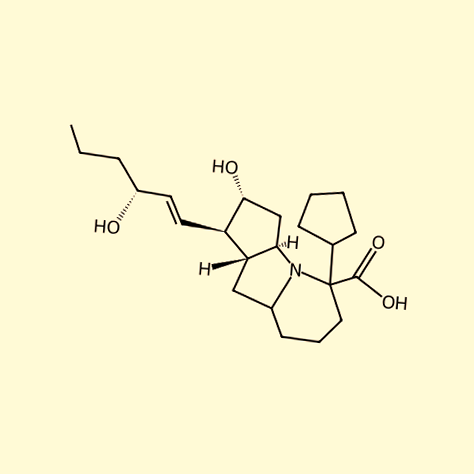 CCC[C@@H](O)/C=C/[C@@H]1[C@H]2CC3CCCC(C(=O)O)(C4CCCC4)N3[C@@H]2C[C@H]1O